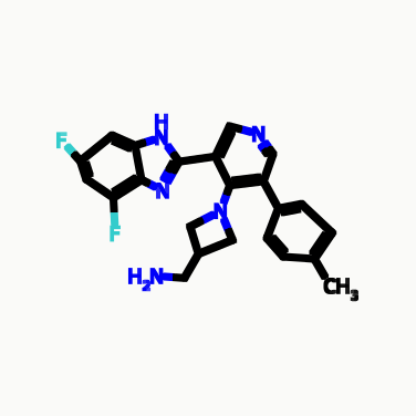 Cc1ccc(-c2cncc(-c3nc4c(F)cc(F)cc4[nH]3)c2N2CC(CN)C2)cc1